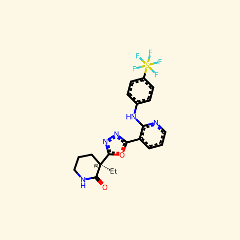 CC[C@@]1(c2nnc(-c3cccnc3Nc3ccc(S(F)(F)(F)(F)F)cc3)o2)CCCNC1=O